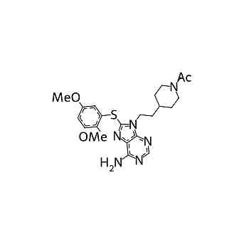 COc1ccc(OC)c(Sc2nc3c(N)ncnc3n2CCC2CCN(C(C)=O)CC2)c1